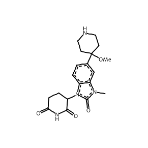 COC1(c2ccc3c(c2)n(C)c(=O)n3C2CCC(=O)NC2=O)CCNCC1